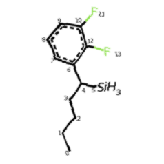 CCCCC([SiH3])c1cccc(F)c1F